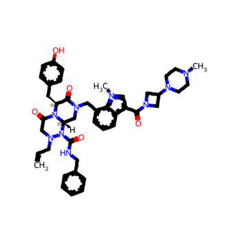 C=CCN1CC(=O)N2[C@@H](Cc3ccc(O)cc3)C(=O)N(Cc3cccc4c(C(=O)N5CC(N6CCN(C)CC6)C5)cn(C)c34)C[C@@H]2N1C(=O)NCc1ccccc1